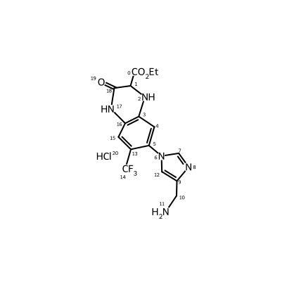 CCOC(=O)C1Nc2cc(-n3cnc(CN)c3)c(C(F)(F)F)cc2NC1=O.Cl